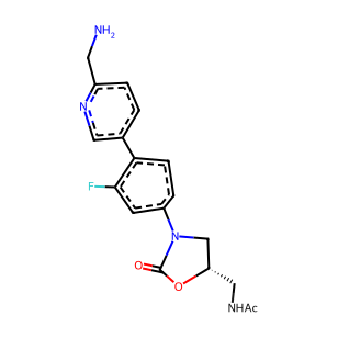 CC(=O)NC[C@H]1CN(c2ccc(-c3ccc(CN)nc3)c(F)c2)C(=O)O1